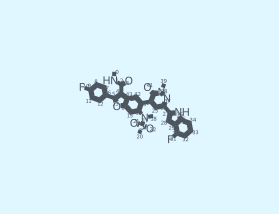 CNC(=O)c1c(-c2ccc(F)cc2)oc2cc(N(C)S(C)(=O)=O)c(-c3cc(-c4cc5c(F)cccc5[nH]4)nn(C)c3=O)cc12